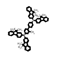 Cc1cc(N(c2ccc3c(c2)C(C)(C)c2ccccc2-3)c2ccc3c(c2)C(C)(C)c2ccccc2-3)ccc1-c1ccc(N(c2ccc3c(c2)C(C)(C)c2ccccc2-3)c2ccc3c(c2)C(C)(C)c2ccccc2-3)cc1